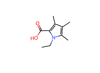 CCn1c(C)c(C)c(C)c1C(=O)O